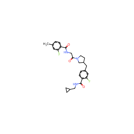 Cc1ccc(C(=O)NCC(=O)N2CCC(Cc3ccc(C(=O)NCC4CC4)c(F)c3)C2)c(F)c1